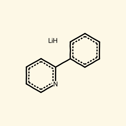 [LiH].c1ccc(-c2ccccn2)cc1